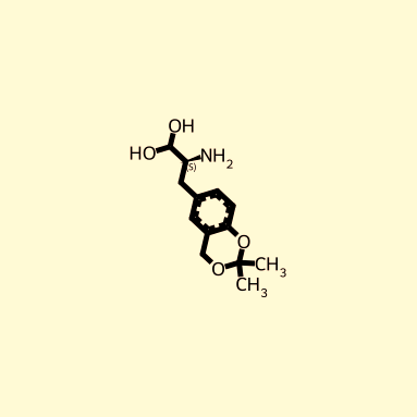 CC1(C)OCc2cc(C[C@H](N)C(O)O)ccc2O1